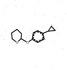 c1cc(C2CC2)ccc1OC1CCCCO1